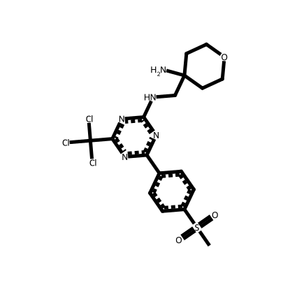 CS(=O)(=O)c1ccc(-c2nc(NCC3(N)CCOCC3)nc(C(Cl)(Cl)Cl)n2)cc1